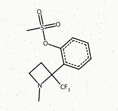 CN1CCC1(c1ccccc1OS(C)(=O)=O)C(F)(F)F